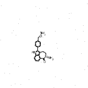 NOCc1ccc(-c2[nH]c3cccc4c3c2CCN(N)C4=O)cc1